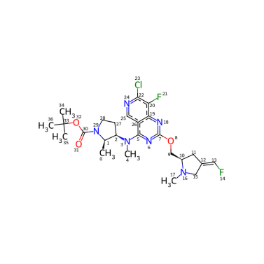 C[C@@H]1[C@H](N(C)c2nc(OC[C@H]3CC(=CF)CN3C)nc3c(F)c(Cl)ncc23)CCN1C(=O)OC(C)(C)C